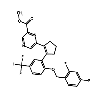 COC(=O)c1cncc(C2=C(c3cc(C(F)(F)F)ccc3OCc3ccc(F)cc3F)CCC2)n1